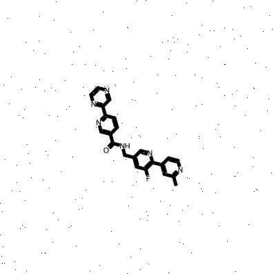 Cc1cc(-c2ncc(CNC(=O)c3ccc(-c4cnccn4)nc3)cc2F)ccn1